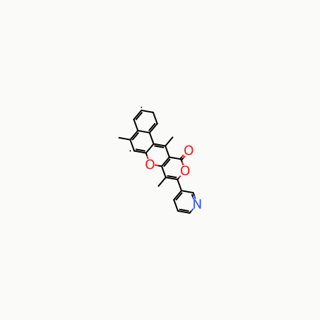 CC1=c2c([c]c(C)c3c2=CC[C]=C3)Oc2c(C)c(-c3cccnc3)oc(=O)c21